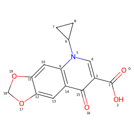 O=C(O)c1cn(C2CC2)c2cc3c(cc2c1=O)OCO3